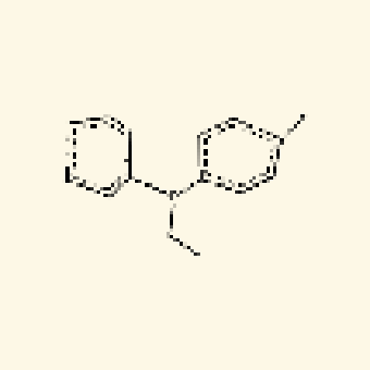 CCP(c1ccccc1)c1ccc(C)cc1